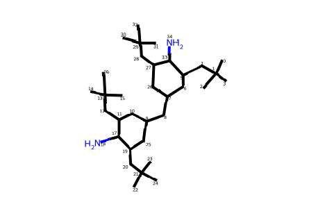 CC(C)(C)CC1CC(CC2CC(CC(C)(C)C)C(N)C(CC(C)(C)C)C2)CC(CC(C)(C)C)C1N